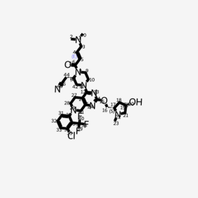 CN(C)C/C=C/C(=O)N1CCN(c2nc(OC[C@@H]3C[C@@H](O)CN3C)nc3c2CCN(c2cccc(Cl)c2C(F)(F)F)C3)C[C@@H]1CC#N